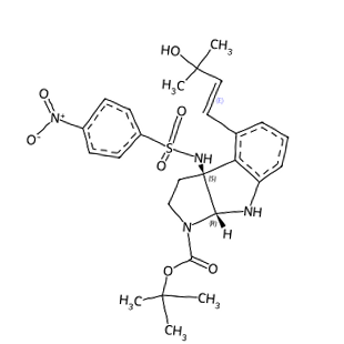 CC(C)(O)/C=C/c1cccc2c1[C@@]1(NS(=O)(=O)c3ccc([N+](=O)[O-])cc3)CCN(C(=O)OC(C)(C)C)[C@H]1N2